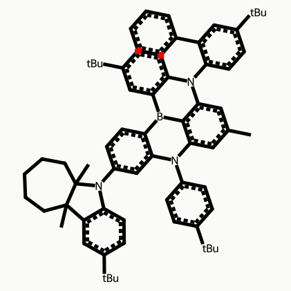 Cc1cc2c3c(c1)N(c1ccc(C(C)(C)C)cc1-c1ccccc1)c1ccc(C(C)(C)C)cc1B3c1ccc(N3c4ccc(C(C)(C)C)cc4C4(C)CCCCCC34C)cc1N2c1ccc(C(C)(C)C)cc1